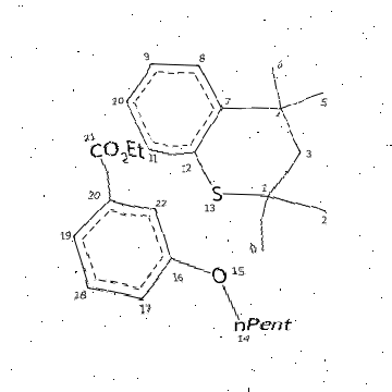 CC1(C)CC(C)(C)c2ccccc2S1.CCCCCOc1cccc(C(=O)OCC)c1